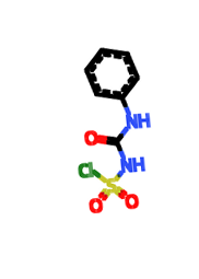 O=C(Nc1ccccc1)NS(=O)(=O)Cl